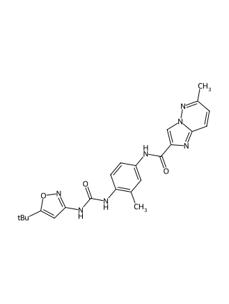 Cc1ccc2nc(C(=O)Nc3ccc(NC(=O)Nc4cc(C(C)(C)C)on4)c(C)c3)cn2n1